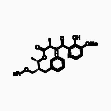 CCCOC[C@@H](Cc1ccccc1)[C@H](C)OC(=O)[C@@H](C)NC(=O)c1nccc(OC)c1O